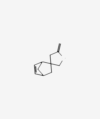 C=C1CC2(CO1)CC1C=CC2C1